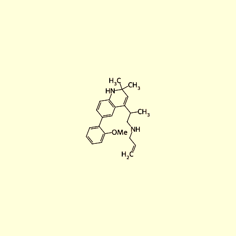 C=CCNCC(C)C1=CC(C)(C)Nc2ccc(-c3ccccc3OC)cc21